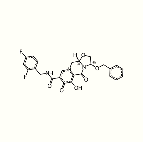 O=C(NCc1ccc(F)cc1F)c1cn2c(c(O)c1=O)C(=O)N1[C@H](C2)OC[C@H]1OCc1ccccc1